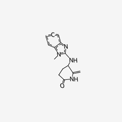 C=C1NC(=O)CCC1Nc1nc2ccccc2n1C